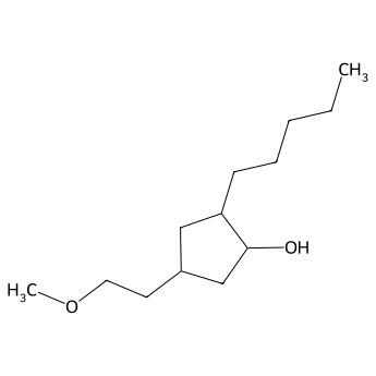 CCCCCC1CC(CCOC)CC1O